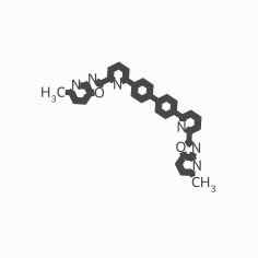 Cc1ccc2oc(-c3cccc(-c4ccc(-c5ccc(-c6cccc(-c7nc8nc(C)ccc8o7)n6)cc5)cc4)n3)nc2n1